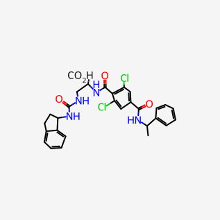 CC(NC(=O)c1cc(Cl)c(C(=O)NC(CNC(=O)NC2CCc3ccccc32)C(=O)O)c(Cl)c1)c1ccccc1